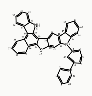 c1ccc(-c2cccc(-n3c4ccccc4c4cc5c(cc43)sc3c4ccccc4c4c6ccccc6[nH]c4c53)c2)cc1